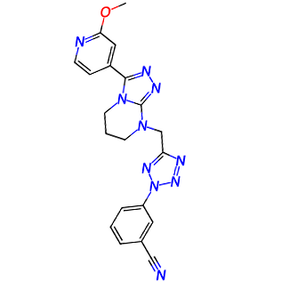 COc1cc(-c2nnc3n2CCCN3Cc2nnn(-c3cccc(C#N)c3)n2)ccn1